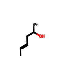 CC=CCC(O)C(C)C